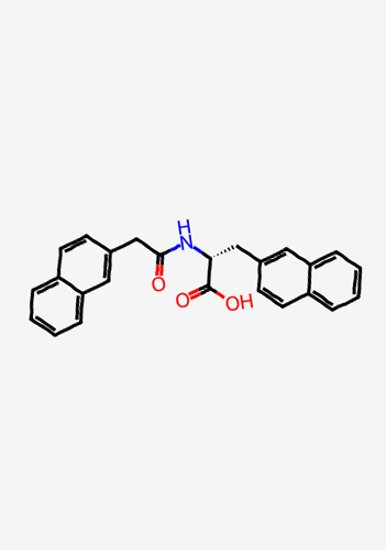 O=C(Cc1ccc2ccccc2c1)N[C@H](Cc1ccc2ccccc2c1)C(=O)O